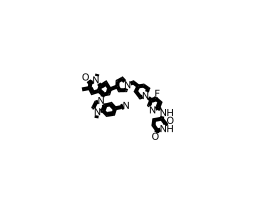 Cc1cc2c(N3CCN(C)c4ccc(C#N)cc43)cc(C3CCN(CC4CCN(c5cnc(NC6CCC(=O)NC6=O)cc5F)CC4)CC3)cc2n(C)c1=O